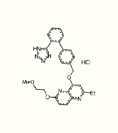 CCc1cc(OCc2ccc(-c3ccccc3-c3nnn[nH]3)cc2)c2nc(OCCOC)ccc2n1.Cl